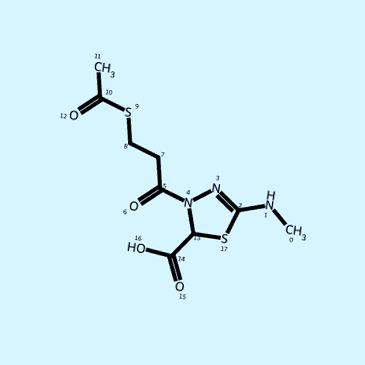 CNC1=NN(C(=O)CCSC(C)=O)C(C(=O)O)S1